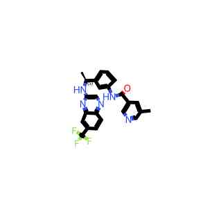 Cc1cncc(C(=O)Nc2cccc([C@H](C)Nc3cnc4ccc(C(F)(F)F)cc4n3)c2)c1